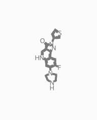 O=c1c2c[nH]c3cc(N4CCNCC4)c(F)cc3c-2nn1-c1ccsc1